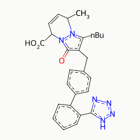 CCCCc1c(Cc2ccc(-c3ccccc3-c3nnn[nH]3)cc2)c(=O)n2n1C(C)C=CC2C(=O)O